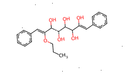 CCCOC(=Cc1ccccc1)C(O)C(O)C(O)C(O)C(O)=Cc1ccccc1